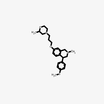 CSc1ccc(C2CN(C)Cc3cc(OCCCN4CCOC(C)C4)ccc32)cc1